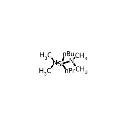 CCCC[Si](CCC)(N(C)C)N(C)C